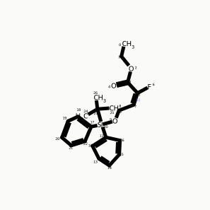 CCOC(=O)/C(F)=C\CO[Si](c1ccccc1)(c1ccccc1)C(C)(C)C